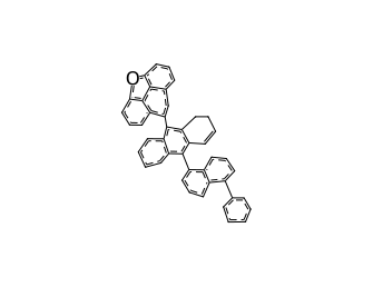 C1=Cc2c(c(-c3cc4cccc5oc6cccc3c6c45)c3ccccc3c2-c2cccc3c(-c4ccccc4)cccc23)CC1